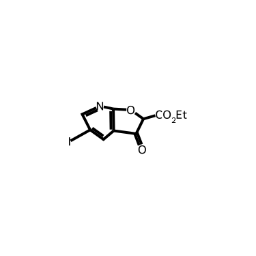 CCOC(=O)C1Oc2ncc(I)cc2C1=O